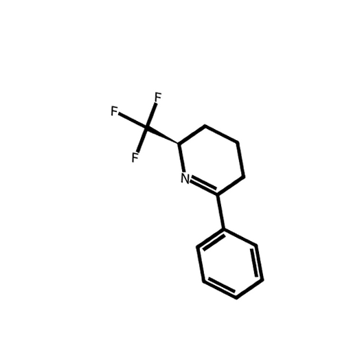 FC(F)(F)[C@H]1CCCC(c2ccccc2)=N1